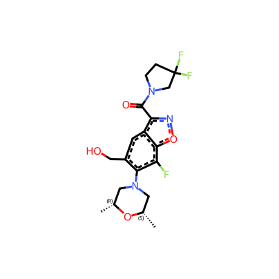 C[C@@H]1CN(c2c(CO)cc3c(C(=O)N4CCC(F)(F)C4)noc3c2F)C[C@H](C)O1